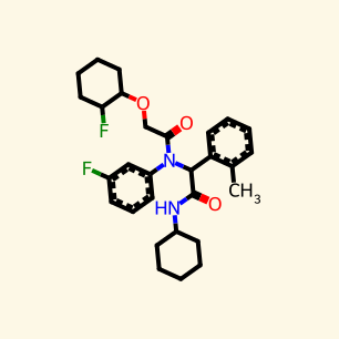 Cc1ccccc1C(C(=O)NC1CCCCC1)N(C(=O)COC1CCCCC1F)c1cccc(F)c1